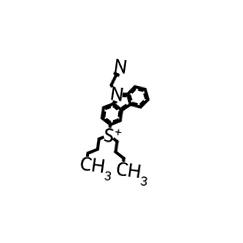 CCCC[S+](CCCC)c1ccc2c(c1)c1ccccc1n2CC#N